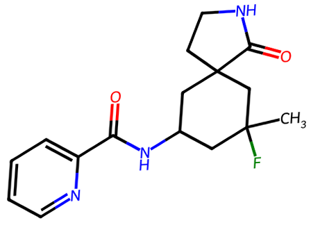 CC1(F)CC(NC(=O)c2ccccn2)CC2(CCNC2=O)C1